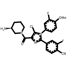 COc1ccc(-n2c(-c3ccc(C#N)c(F)c3)nc(C(=O)N3CCC[C@H](N)C3)c2Cl)cc1F